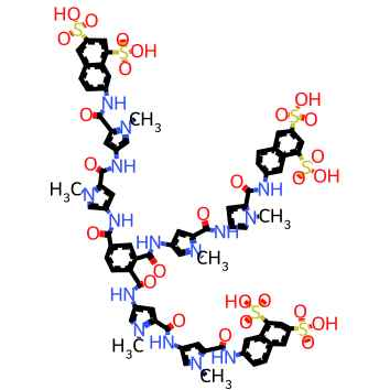 Cn1cc(NC(=O)c2ccc(C(=O)Nc3cc(C(=O)Nc4cc(C(=O)Nc5ccc6cc(S(=O)(=O)O)cc(S(=O)(=O)O)c6c5)n(C)c4)n(C)c3)c(C(=O)Nc3cc(C(=O)Nc4cc(C(=O)Nc5ccc6cc(S(=O)(=O)O)cc(S(=O)(=O)O)c6c5)n(C)c4)n(C)c3)c2)cc1C(=O)Nc1cc(C(=O)Nc2ccc3cc(S(=O)(=O)O)cc(S(=O)(=O)O)c3c2)n(C)c1